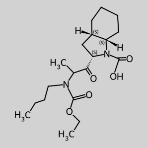 CCCCN(C(=O)OCC)C(C)C(=O)[C@@H]1C[C@@H]2CCCC[C@@H]2N1C(=O)O